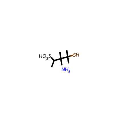 CC(C(C)(C)C(C)(C)S)S(=O)(=O)O.N